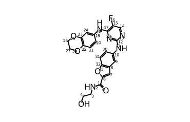 O=C(NCCO)c1cc2cc(Nc3ncc(F)c(Nc4ccc5c(c4)OCCO5)n3)ccc2o1